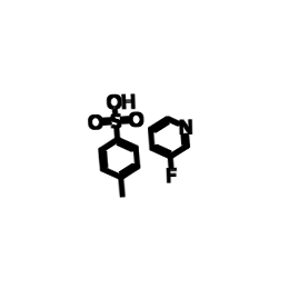 Cc1ccc(S(=O)(=O)O)cc1.Fc1cccnc1